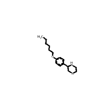 CCCCCCOc1ccc(C2C[N]CCN2)cc1